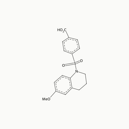 COc1ccc2c(c1)CCCN2S(=O)(=O)c1ccc(C(=O)O)cc1